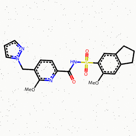 COc1cc2c(cc1S(=O)(=O)NC(=O)c1ccc(Cn3cccn3)c(OC)n1)CCC2